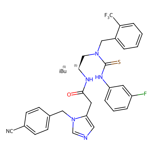 CC[C@H](C)[C@@H](CN(Cc1ccccc1C(F)(F)F)C(=S)Nc1cccc(F)c1)NC(=O)Cc1cncn1Cc1ccc(C#N)cc1